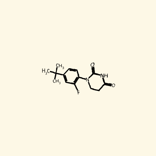 CC(C)(C)c1ccc(N2CCC(=O)NC2=O)c(F)c1